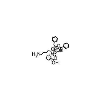 NCCCCC(OP(=O)(O)[C@@H](Cc1ccccc1)OC(=O)c1ccccc1)C(=O)N1CCC[C@H]1C(=O)O